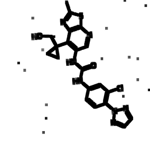 Cc1nc2c(C3(CO)CC3)c(NC(=O)Nc3ccc(-n4nccn4)c(Cl)c3)cnc2s1